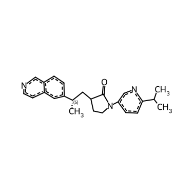 CC(C)c1ccc(N2CCC(C[C@H](C)c3ccc4cnccc4c3)C2=O)cn1